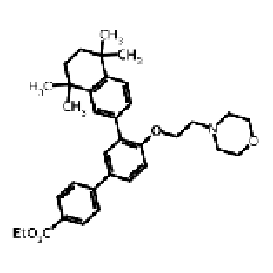 CCOC(=O)c1ccc(-c2ccc(OCCN3CCOCC3)c(-c3ccc4c(c3)C(C)(C)CCC4(C)C)c2)cc1